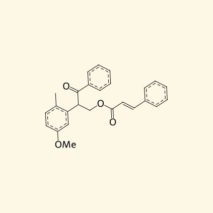 COc1ccc(C)c(C(COC(=O)C=Cc2ccccc2)C(=O)c2ccccc2)c1